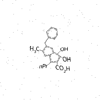 CCCc1c(C(=O)O)c(O)c(O)c2cc(Cc3ccccc3)c(C)cc12